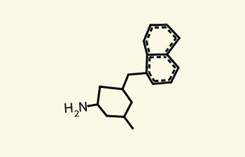 CC1CC(N)CC(Cc2cccc3ccccc23)C1